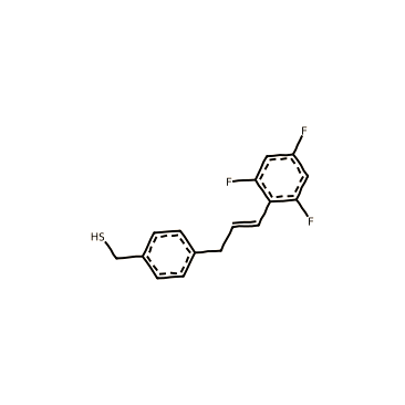 Fc1cc(F)c(C=CCc2ccc(CS)cc2)c(F)c1